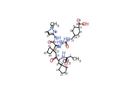 CCC(=O)N[C@@H](CC1(C)CCCC1)C(=O)CC1(/C(=N/NC(=O)NCC2CCC(C(=O)O)CC2)C(=O)Nc2ccn(C)n2)CCC1